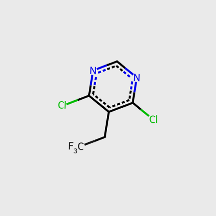 FC(F)(F)Cc1c(Cl)ncnc1Cl